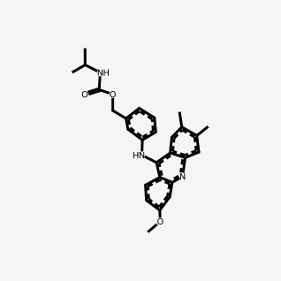 COc1ccc2c(Nc3cccc(COC(=O)NC(C)C)c3)c3cc(C)c(C)cc3nc2c1